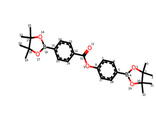 CC1(C)OB(c2ccc(OC(=O)c3ccc(B4OC(C)(C)C(C)(C)O4)cc3)cc2)OC1(C)C